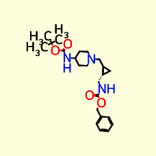 CC(C)(C)OC(=O)NC1CCN(CC2C[C@@H]2CNC(=O)OCc2ccccc2)CC1